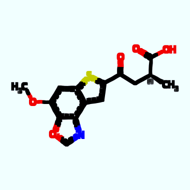 COc1cc2sc(C(=O)C[C@H](C)C(=O)O)cc2c2ncoc12